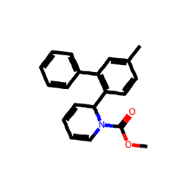 COC(=O)N1C=CC=CC1c1ccc(C)cc1-c1ccccc1